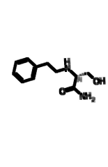 NC(=O)[C@@H](CO)NCCc1ccccc1